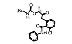 C[C@H](OC(=O)NC(C)(C)C)C(=O)Cc1cccc(Cl)c1C(=O)Nc1ccccc1